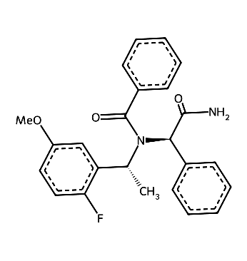 COc1ccc(F)c([C@@H](C)N(C(=O)c2ccccc2)[C@@H](C(N)=O)c2ccccc2)c1